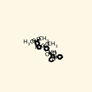 COc1cc2nccc(Oc3ccc(NC(=O)c4c5n(n(-c6ccccc6)c4=O)CCCC5)cc3OC)c2cc1OC